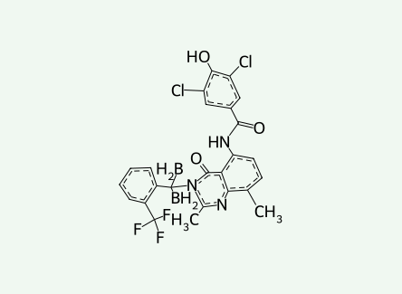 BC(B)(c1ccccc1C(F)(F)F)n1c(C)nc2c(C)ccc(NC(=O)c3cc(Cl)c(O)c(Cl)c3)c2c1=O